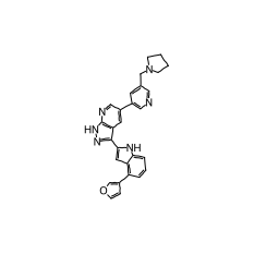 c1cc(-c2ccoc2)c2cc(-c3n[nH]c4ncc(-c5cncc(CN6CCCC6)c5)cc34)[nH]c2c1